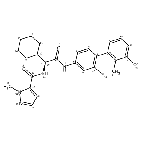 Cc1c(-c2ccc(NC(=O)[C@@H](NC(=O)c3ccnn3C)C3CCCCC3)cc2F)ccc[n+]1[O-]